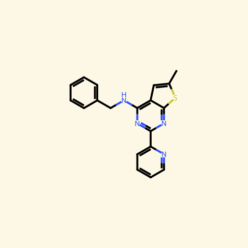 Cc1cc2c(NCc3ccccc3)nc(-c3ccccn3)nc2s1